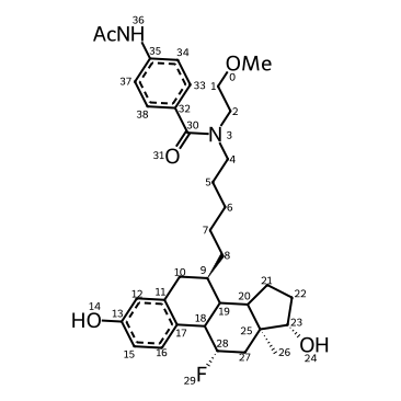 COCCN(CCCCC[C@@H]1Cc2cc(O)ccc2C2C1C1CC[C@H](O)[C@@]1(C)C[C@@H]2F)C(=O)c1ccc(NC(C)=O)cc1